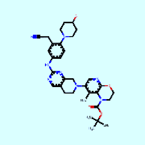 Cc1c(N2CCc3cnc(Nc4ccc(N5CCC(O)CC5)c(CC#N)c4)nc3C2)cnc2c1N(C(=O)OC(C)(C)C)CCO2